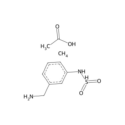 C.CC(=O)O.NCc1cccc(N[SH](=O)=O)c1